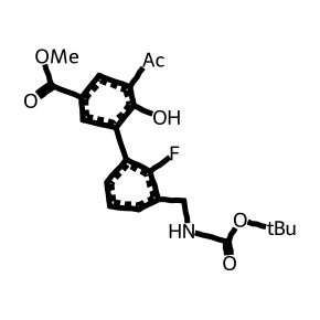 COC(=O)c1cc(C(C)=O)c(O)c(-c2cccc(CNC(=O)OC(C)(C)C)c2F)c1